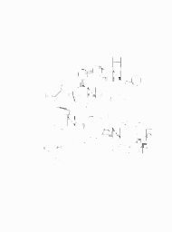 O=C1CCC(N2Cc3c(cccc3N(CCC3CC3)C3CCC(N4CCC(F)(F)CC4)CC3)C2=O)C(=O)N1